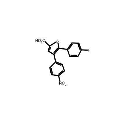 O=C(O)c1cc(-c2ccc([N+](=O)[O-])cc2)c(-c2ccc(F)cc2)s1